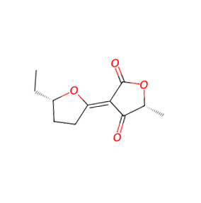 CC[C@H]1CC/C(=C2/C(=O)O[C@H](C)C2=O)O1